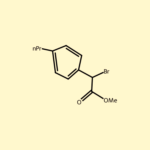 CCCc1ccc(C(Br)C(=O)OC)cc1